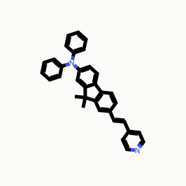 CC1(C)c2cc(/C=C/c3ccncc3)ccc2-c2ccc(N(c3ccccc3)c3ccccc3)cc21